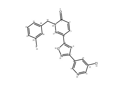 O=c1ccc(-c2nc(-c3cncc(Cl)c3)no2)nn1Cc1cccc(F)c1